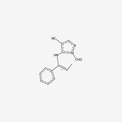 C/C=C(\Nc1c(C#N)cnn1C=O)c1ccccc1